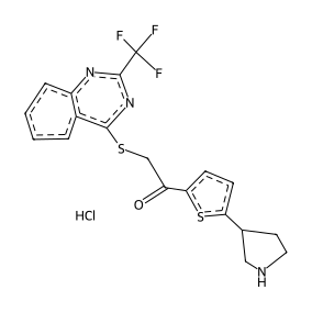 Cl.O=C(CSc1nc(C(F)(F)F)nc2ccccc12)c1ccc(C2CCNC2)s1